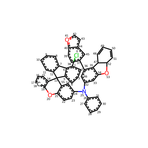 Clc1cccc2c1-c1ccccc1C21c2ccccc2Oc2ccc(N(c3ccccc3)c3cc4c(c(-c5ccc6occc6c5)c3)C3C=CC=CC3O4)cc21